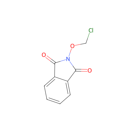 O=C1c2ccccc2C(=O)N1OCCl